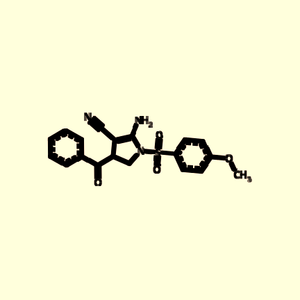 COc1ccc(S(=O)(=O)N2CC(C(=O)c3ccccc3)C(C#N)=C2N)cc1